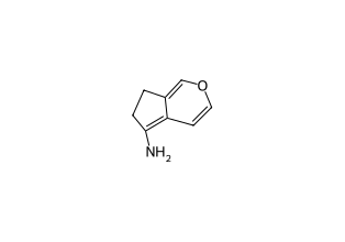 NC1=C2C=COC=C2CC1